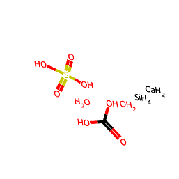 O.O.O=C(O)O.O=S(=O)(O)O.[CaH2].[SiH4]